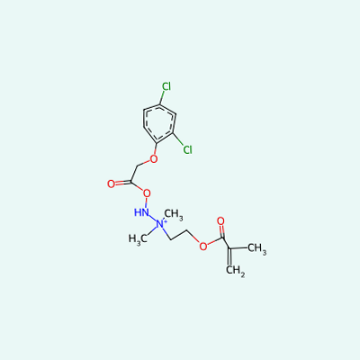 C=C(C)C(=O)OCC[N+](C)(C)NOC(=O)COc1ccc(Cl)cc1Cl